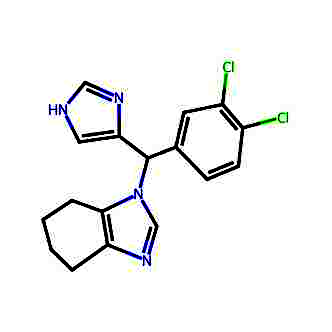 Clc1ccc(C(c2c[nH]cn2)n2cnc3c2CCCC3)cc1Cl